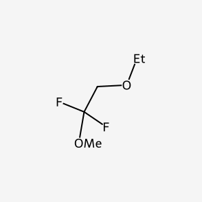 CCOCC(F)(F)OC